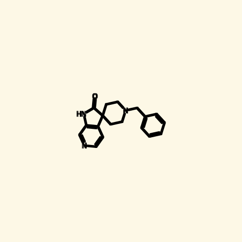 O=C1Nc2cnccc2C12CCN(Cc1ccccc1)CC2